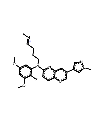 C/N=C/CCCN(c1ccc2ncc(-c3cnn(C)c3)cc2n1)c1cc(OC)cc(OC)c1F